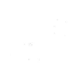 CCC1(NC(=O)OCc2ccccc2)CCOCC1